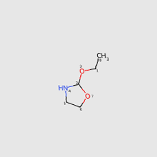 CCOC1NCCO1